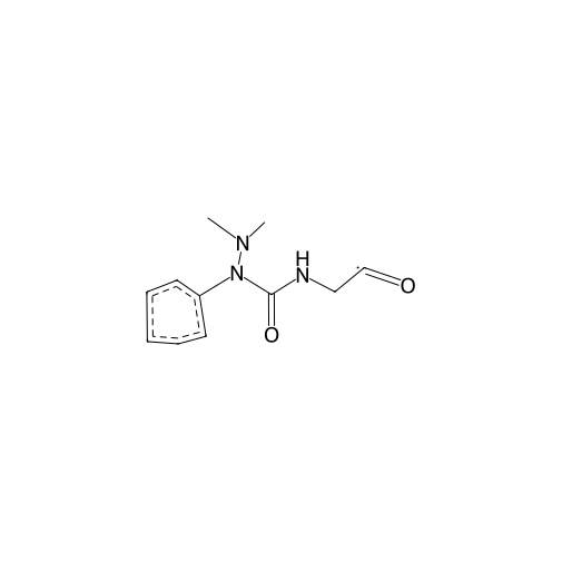 CN(C)N(C(=O)NC[C]=O)c1ccccc1